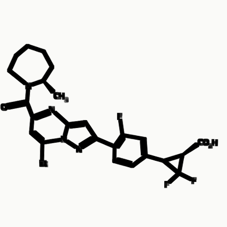 CCc1cc(C(=O)N2CCCCC[C@H]2C)nc2cc(-c3ccc(C4[C@@H](C(=O)O)C4(F)F)cc3F)nn12